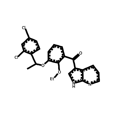 CCOc1c(OC(C)c2ccc(Cl)cc2Cl)cccc1C(=O)c1c[nH]c2ncccc12